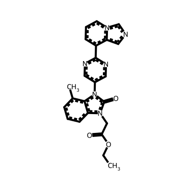 CCOC(=O)Cn1c(=O)n(-c2cnc(-c3cccn4cncc34)nc2)c2c(C)cccc21